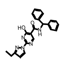 CCc1[c]cn(-c2ncc(C(=O)NC(c3ccccc3)c3ccccc3)c(O)n2)n1